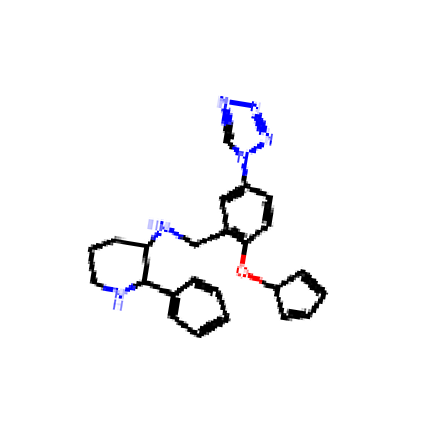 C1=CC(Oc2ccc(-n3cnnn3)cc2CNC2CCCNC2c2ccccc2)C=C1